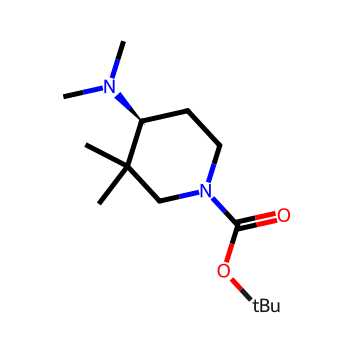 CN(C)[C@H]1CCN(C(=O)OC(C)(C)C)CC1(C)C